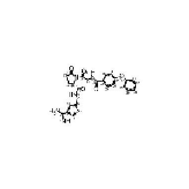 N=C(N)c1csc(CNC(=O)[C@@H]2CCC(=O)N2C(=O)CNC(=O)c2ccc(Oc3ccccc3)cc2)c1